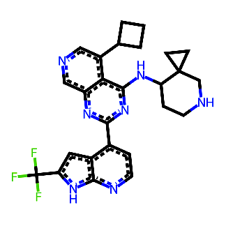 FC(F)(F)c1cc2c(-c3nc(NC4CCNCC45CC5)c4c(C5CCC5)cncc4n3)ccnc2[nH]1